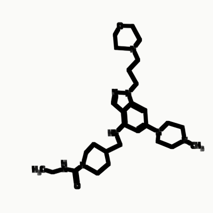 CCNC(=O)N1CCC(CNc2cc(N3CCN(C)CC3)cc3c2cnn3CCCN2CCOCC2)CC1